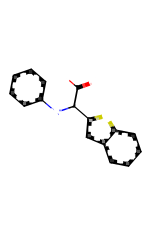 O=C(O)C(Nc1ccccc1)c1cc2ccccc2s1